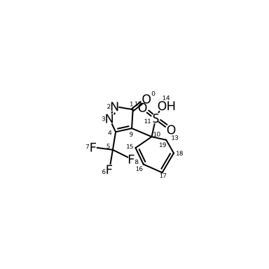 O=C1N=NC(C(F)(F)F)=C1C1(S(=O)(=O)O)C=CC=CC1